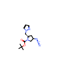 CC(C)(C)OC(=O)N1CC(N=[N+]=[N-])C[C@@H]1Cn1cccn1